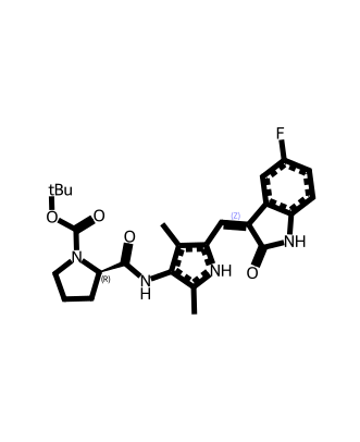 Cc1[nH]c(/C=C2\C(=O)Nc3ccc(F)cc32)c(C)c1NC(=O)[C@H]1CCCN1C(=O)OC(C)(C)C